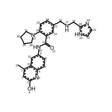 Cc1cc(O)nc2ccc(NC(=O)c3cc(CNCc4ncc[nH]4)ccc3N3CCCC3)cc12